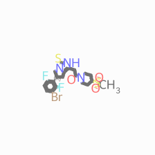 CS(=O)(=O)C1CCN(C(=O)Cc2[nH]c(=S)n3c2C[C@H](c2c(F)ccc(Br)c2F)C3)CC1